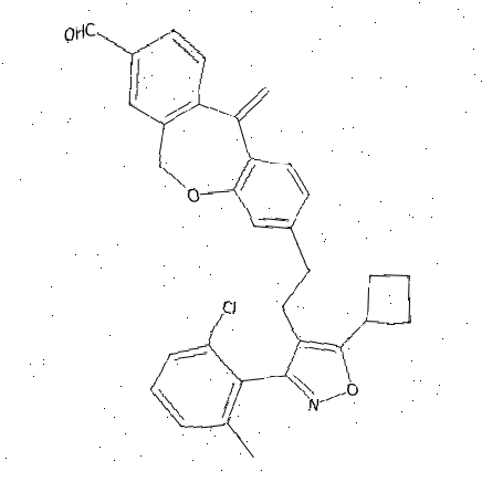 C=C1c2ccc(C=O)cc2COc2cc(CCc3c(-c4c(C)cccc4Cl)noc3C3CCC3)ccc21